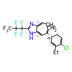 C=C(/C=c1/[nH]c(C(F)(F)C(F)(F)C(F)(F)F)n/c1=C/C)[C@H]1C=C(CC)C(Cl)=CC1